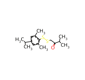 Cc1cc(C(C)C)cc(C)c1SSCC(=O)C(C)C